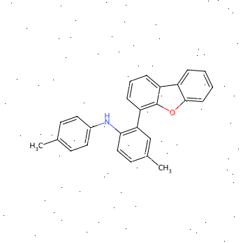 Cc1ccc(Nc2ccc(C)cc2-c2cccc3c2oc2ccccc23)cc1